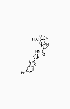 CS(=O)(=O)C1(c2nsc(C(=O)NC34CC(c5nc6cc(Br)ccc6s5)(C3)C4)n2)CC1